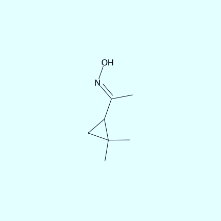 CC(=NO)C1CC1(C)C